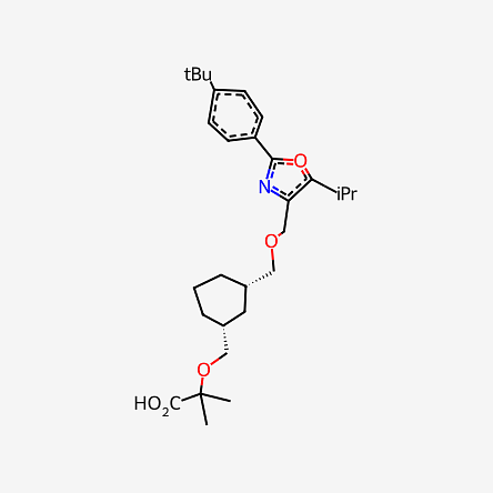 CC(C)c1oc(-c2ccc(C(C)(C)C)cc2)nc1COC[C@H]1CCC[C@@H](COC(C)(C)C(=O)O)C1